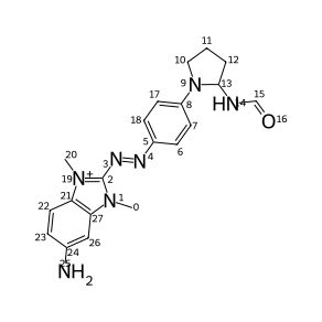 Cn1c(N=Nc2ccc(N3CCCC3NC=O)cc2)[n+](C)c2ccc(N)cc21